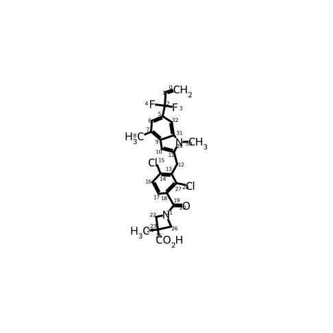 C=CC(F)(F)c1cc(C)c2cc(Cc3c(Cl)ccc(C(=O)N4CC(C)(C(=O)O)C4)c3Cl)n(C)c2c1